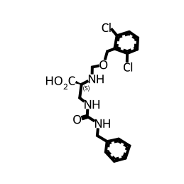 O=C(NCc1ccccc1)NC[C@H](NCOCc1c(Cl)cccc1Cl)C(=O)O